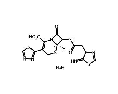 N=C1SC=NC1CC(=O)NC1C(=O)N2C(C(=O)O)=C(c3nncs3)CS[C@H]12.[NaH]